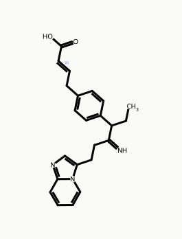 CCC(C(=N)CCc1cnc2ccccn12)c1ccc(C/C=C/C(=O)O)cc1